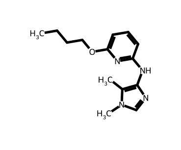 CCCCOc1cccc(Nc2ncn(C)c2C)n1